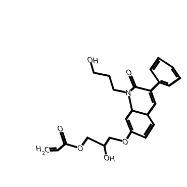 C=CC(=O)OCC(O)COC1=CC2C(C=C1)C=C(c1ccccc1)C(=O)N2CCCO